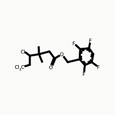 CC(C)(CC(=O)OCc1c(F)c(F)cc(F)c1F)C(Cl)CC(Cl)(Cl)Cl